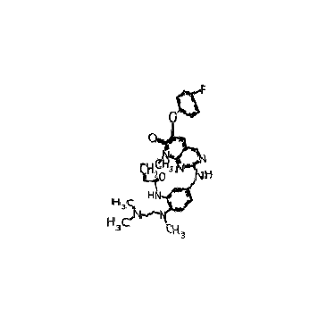 C=CC(=O)Nc1cc(Nc2ncc3cc(Oc4ccc(F)cc4)c(=O)n(C)c3n2)ccc1N(C)CCN(C)C